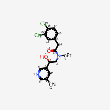 CCCN(CC(O)c1cncc(C#N)c1)C(=O)Cc1ccc(Cl)c(Cl)c1